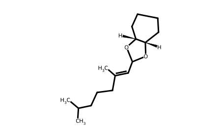 C/C(=C\C1O[C@H]2CCCC[C@H]2O1)CCCC(C)C